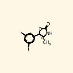 C[C@@H]1NC(=O)OC1c1cc(I)cc(I)c1